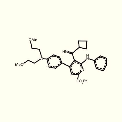 CCOC(=O)c1cc(-c2ccc(N(CCOC)CCOC)nc2)c(C(=N)C2CCC2)c(Nc2ccccc2)n1